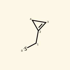 [S]CC1=CC1